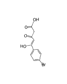 O=C(O)CC(=O)/C=C(\O)c1ccc(Br)cc1